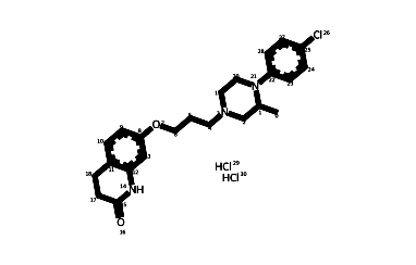 CC1CN(CCCOc2ccc3c(c2)NC(=O)CC3)CCN1c1ccc(Cl)cc1.Cl.Cl